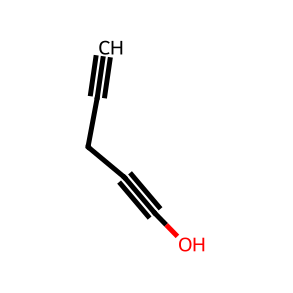 C#CCC#CO